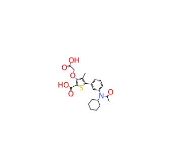 CC(=O)N(c1cccc(-c2sc(C(=O)O)c(OCC(=O)O)c2C)c1)C1CCCCC1